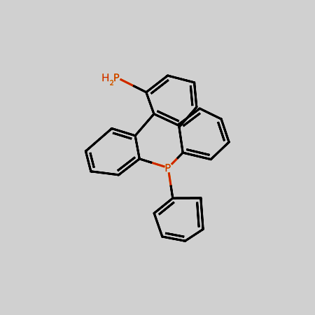 Pc1ccccc1-c1ccccc1P(c1ccccc1)c1ccccc1